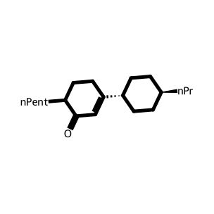 CCCCCC1CCC([C@H]2CC[C@H](CCC)CC2)=CC1=O